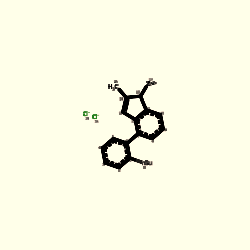 CCCCc1ccccc1-c1cccc2c1C=C(C)[CH]2[Zr+2].[Cl-].[Cl-]